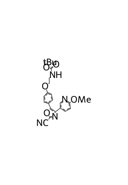 COc1ccc(-c2nc(C#N)oc2-c2ccc(OCCNC(=O)OC(C)(C)C)cc2)cn1